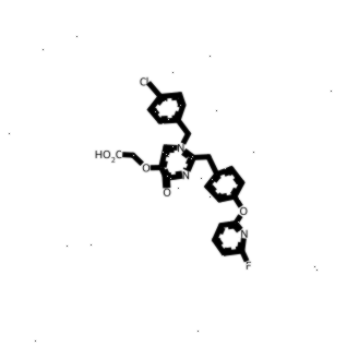 O=C(O)COc1cn(Cc2ccc(Cl)cc2)c(Cc2ccc(Oc3cccc(F)n3)cc2)nc1=O